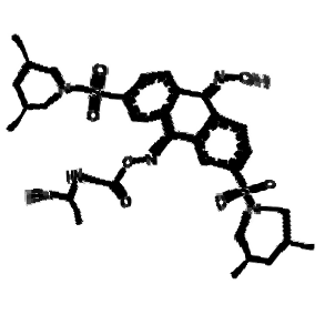 CCC(C)C(C)NC(=O)ON=C1c2cc(S(=O)(=O)N3C[C@H](C)C[C@H](C)C3)ccc2C(=NO)c2ccc(S(=O)(=O)N3C[C@H](C)C[C@H](C)C3)cc21